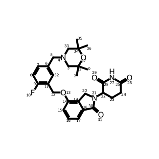 CC1(C)CN(Cc2ccc(F)c(COc3cccc4c3CN(C3CCC(=O)NC3=O)C4=O)c2)CC(C)(C)O1